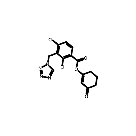 O=C1C=C(OC(=O)c2ccc(Cl)c(Cn3cnnn3)c2Cl)CCC1